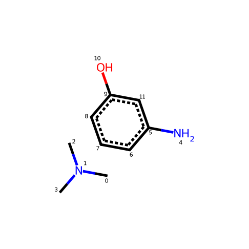 CN(C)C.Nc1cccc(O)c1